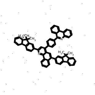 CC1(C)c2ccccc2-c2ccc(-c3cc4c(-c5ccc(-c6nc7ccccc7c7ccccc67)cc5)cc(-c5ccc6c(c5)C(C)(C)[C@]5(C)C=CC=CC65)nc4c4ccccc34)cc21